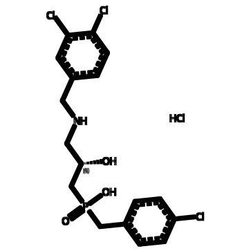 Cl.O=P(O)(Cc1ccc(Cl)cc1)C[C@@H](O)CNCc1ccc(Cl)c(Cl)c1